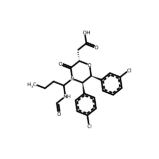 CCCC(NC=O)N1C(=O)[C@H](CC(=O)O)O[C@@H](c2cccc(Cl)c2)[C@H]1c1ccc(Cl)cc1